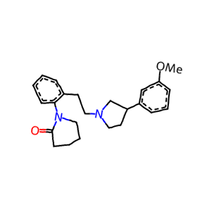 COc1cccc(C2CCN(CCc3ccccc3N3CCCCC3=O)C2)c1